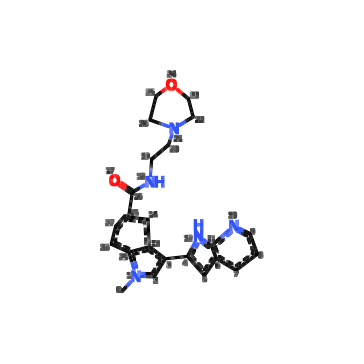 Cn1cc(-c2cc3cccnc3[nH]2)c2cc(C(=O)NCCN3CCOCC3)ccc21